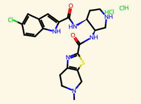 CN1CCc2nc(C(=O)N[C@@H]3CNCC[C@@H]3NC(=O)c3cc4cc(Cl)ccc4[nH]3)sc2C1.Cl.Cl